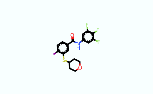 O=C(Nc1cc(F)c(F)c(F)c1)c1ccc(I)c(SC2CCOCC2)c1